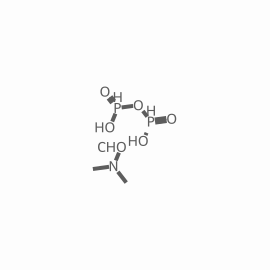 CN(C)C=O.O=[PH](O)O[PH](=O)O